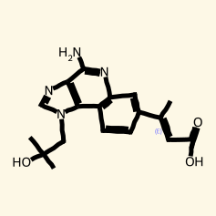 C/C(=C\C(=O)O)c1ccc2c(c1)nc(N)c1ncn(CC(C)(C)O)c12